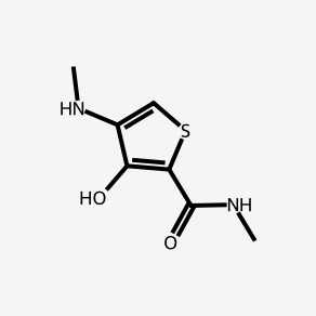 CNC(=O)c1scc(NC)c1O